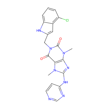 Cn1c(Nc2ccncn2)nc2c1c(=O)n(Cc1cc3c(Cl)cccc3[nH]1)c(=O)n2C